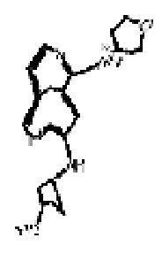 O[C@H]1C[C@@H](Nc2cc3c(N[C@@H]4CCOC4)nccc3cn2)C1